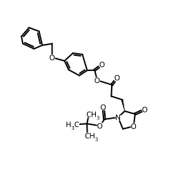 CC(C)(C)OC(=O)N1COC(=O)[C@@H]1CCC(=O)OC(=O)c1ccc(OCc2ccccc2)cc1